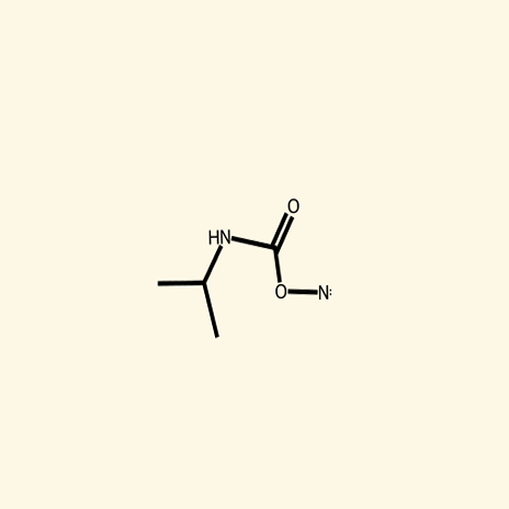 CC(C)NC(=O)O[N]